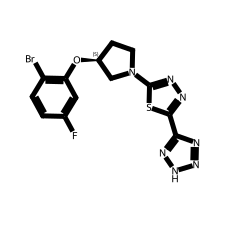 Fc1ccc(Br)c(O[C@H]2CCN(c3nnc(-c4nn[nH]n4)s3)C2)c1